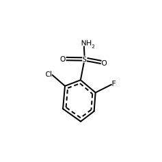 NS(=O)(=O)c1c(F)cccc1Cl